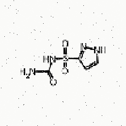 NC(=O)NS(=O)(=O)c1cc[nH]n1